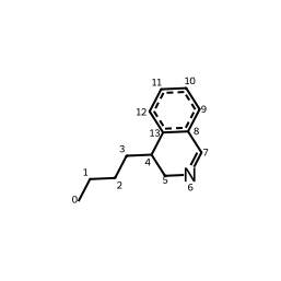 CCCCC1CN=Cc2ccccc21